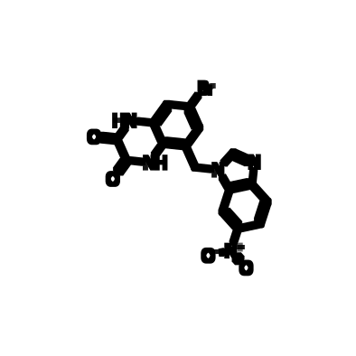 O=c1[nH]c2cc(Br)cc(Cn3cnc4ccc([N+](=O)[O-])cc43)c2[nH]c1=O